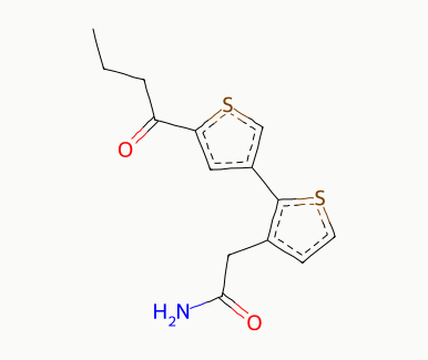 CCCC(=O)c1cc(-c2sccc2CC(N)=O)cs1